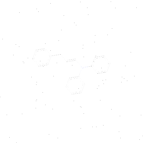 C(=CN(c1ccccc1)c1ccccc1)Cc1ccccc1